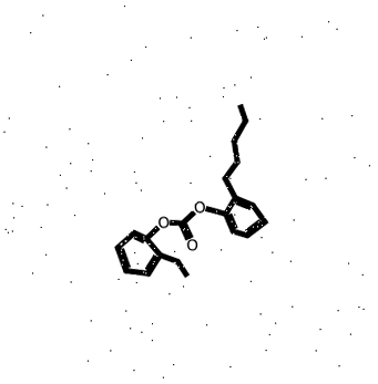 CCCCCc1ccccc1OC(=O)Oc1ccccc1CC